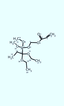 C=CC(=O)OCO[Si](OC)(OC)C(CC)(OCC)OCC